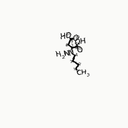 CCCCCN(N)C(CC(=O)O)C(=O)O